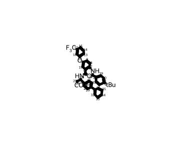 CC(C)(C)c1ccc(CNc2ccc(Oc3cccc(C(F)(F)F)c3)cc2C(=O)NC(CC(=O)O)c2ccc(-c3ccccc3)cc2)cc1